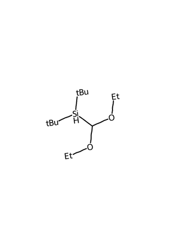 CCOC(OCC)[SiH](C(C)(C)C)C(C)(C)C